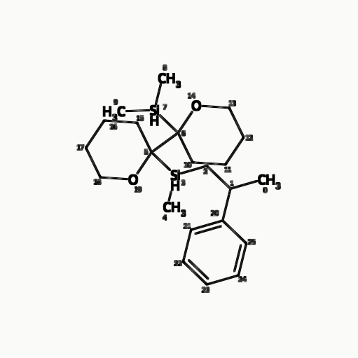 CC(C[SiH](C)C1(C2([SiH](C)C)CCCCO2)CCCCO1)c1ccccc1